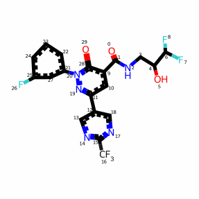 O=C(NCC(O)C(F)F)c1cc(-c2cnc(C(F)(F)F)nc2)nn(-c2cccc(F)c2)c1=O